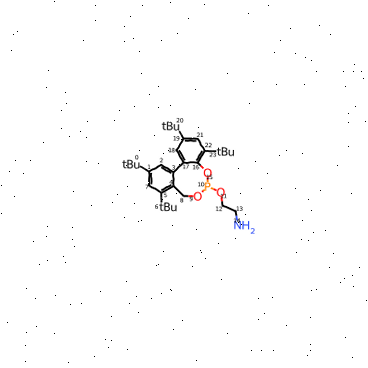 CC(C)(C)c1cc2c(c(C(C)(C)C)c1)COP(OCCN)Oc1c-2cc(C(C)(C)C)cc1C(C)(C)C